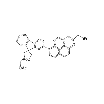 CC(=O)OCCCC1(COC(C)=O)c2ccccc2-c2ccc(-c3ccc4ccc5cc(CC(C)C)cc6ccc3c4c56)cc21